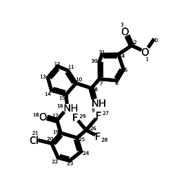 COC(=O)c1ccc(C(=N)c2ccccc2NC(=O)c2c(Cl)cccc2C(F)(F)F)cc1